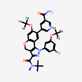 [2H]C([2H])([2H])Oc1cc(Cl)cc(-n2nc(C(=O)N(C)C(C)(C)C)c3c2-c2cc(-c4cncc(C(N)=O)c4)c(OC([2H])([2H])[2H])cc2OC3)c1